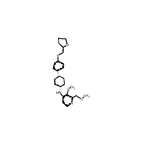 COCc1nccc(N[C@H]2CC[C@@H](c3ccc(OCC4CCCO4)cc3)CC2)c1OC